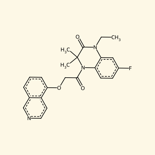 CCN1C(=O)C(C)(C)N(C(=O)COc2cccc3cnccc23)c2ccc(F)cc21